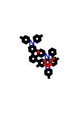 Cc1ccc(N(c2ccc(C)cc2)c2ccc(-c3cccc(-c4ccc(N(c5ccc(C)cc5)c5ccc(C)cc5)cc4C)c3-c3cccc(N4c5ccccc5C(C)(C)c5ccccc54)c3)c(C)c2)cc1